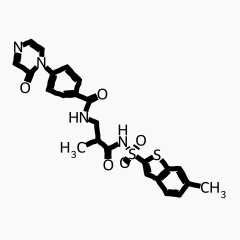 Cc1ccc2cc(S(=O)(=O)NC(=O)C(C)CNC(=O)c3ccc(-n4ccncc4=O)cc3)sc2c1